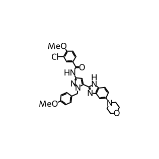 COc1ccc(Cn2nc(NC(=O)c3ccc(OC)c(Cl)c3)cc2-c2nc3cc(N4CCOCC4)ccc3[nH]2)cc1